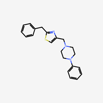 c1ccc(Cc2nc(CN3CCN(c4ccccc4)CC3)cs2)cc1